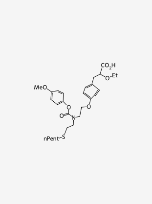 CCCCCSCCN(CCOc1ccc(CC(OCC)C(=O)O)cc1)C(=O)Oc1ccc(OC)cc1